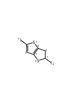 Ic1cc2c(s1)CC(I)S2